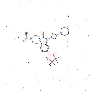 CC(C)C(=O)N1CCC2(CC1)C(=O)N(C1CC(N3CCCCC3)C1)c1cc(B3OC(C)(C)C(C)(C)O3)ccc12